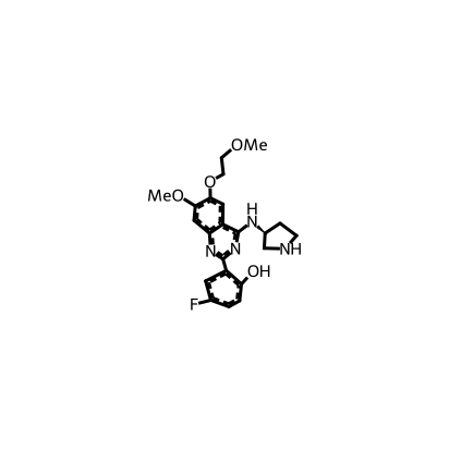 COCCOc1cc2c(N[C@H]3CCNC3)nc(-c3cc(F)ccc3O)nc2cc1OC